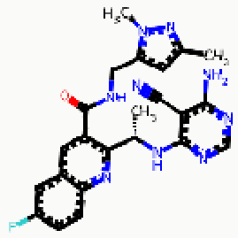 Cc1cc(CNC(=O)c2cc3cc(F)ccc3nc2[C@H](C)Nc2ncnc(N)c2C#N)n(C)n1